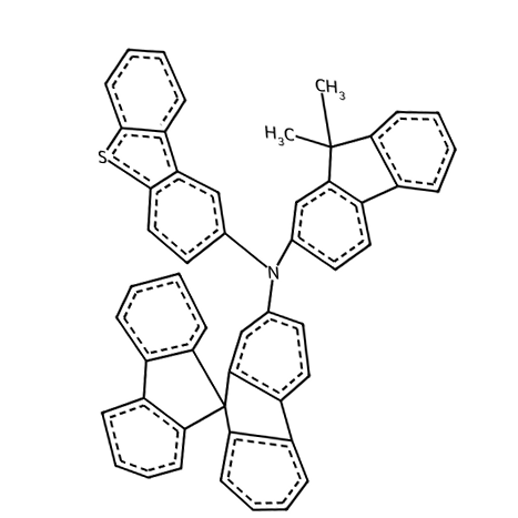 CC1(C)c2ccccc2-c2ccc(N(c3ccc4c(c3)C3(c5ccccc5-c5ccccc53)c3ccccc3-4)c3ccc4sc5ccccc5c4c3)cc21